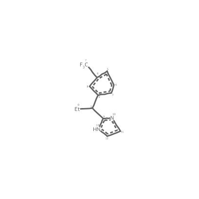 CCC(c1cccc(C(F)(F)F)c1)c1ncc[nH]1